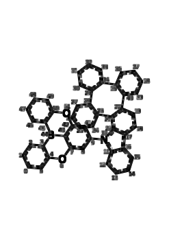 c1ccc2c(c1)Oc1cc(-n3c4ccccc4c4ccc5c(c43)-c3ccccc3-c3ccccc3-c3ccccc3-5)cc3c1B2c1ccccc1O3